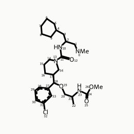 CNCC(CC1CCCCC1)NC(=O)N1CCCC(C(OCC(C)NC(=O)OC)c2cccc(Cl)c2)C1